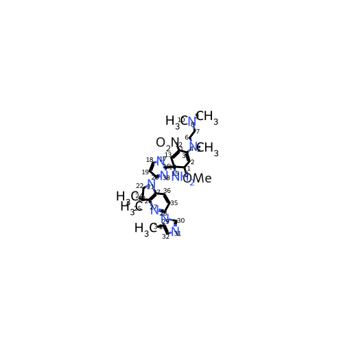 COC1C=C(N(C)CCN(C)C)C([N+](=O)[O-])=CC1(N)c1nccc(N2CC(C)(C)c3nc(-n4cncc4C)ccc32)n1